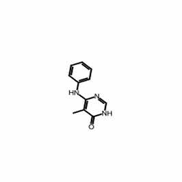 Cc1c(Nc2ccccc2)nc[nH]c1=O